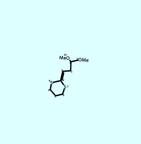 COC(CC=C1SCCCS1)OC